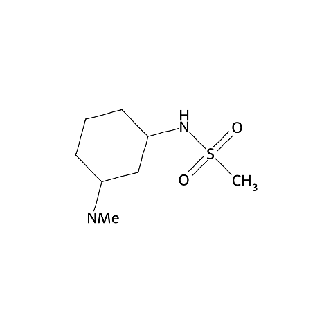 CNC1CCCC(NS(C)(=O)=O)C1